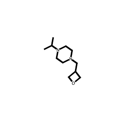 CC(C)N1CCN(CC2COC2)CC1